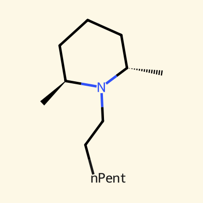 CCCCCCCN1[C@@H](C)CCC[C@@H]1C